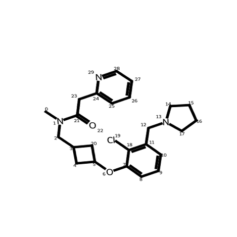 CN(CC1CC(Oc2cccc(CN3CCCC3)c2Cl)C1)C(=O)Cc1ccccn1